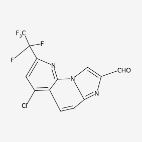 O=Cc1cn2c(ccc3c(Cl)cc(C(F)(F)C(F)(F)F)nc32)n1